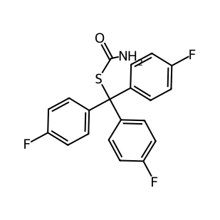 NC(=O)SC(c1ccc(F)cc1)(c1ccc(F)cc1)c1ccc(F)cc1